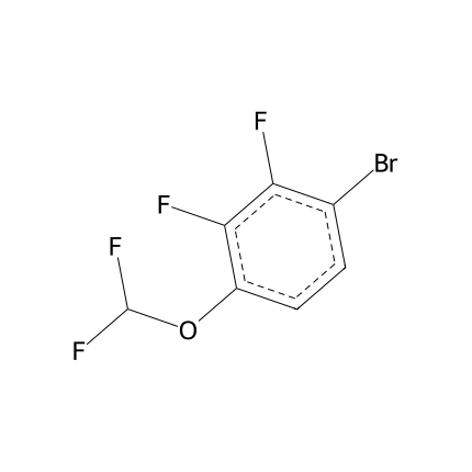 Fc1c(Br)ccc(OC(F)F)c1F